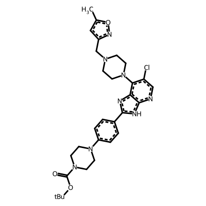 Cc1cc(CN2CCN(c3c(Cl)cnc4[nH]c(-c5ccc(N6CCN(C(=O)OC(C)(C)C)CC6)cc5)nc34)CC2)no1